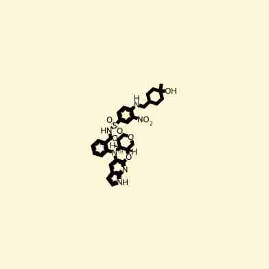 CC1(O)CCC(CNc2ccc(S(=O)(=O)NC(=O)c3ccccc3N3c4cc5cc[nH]c5nc4O[C@H]4COCC[C@@H]43)cc2[N+](=O)[O-])CC1